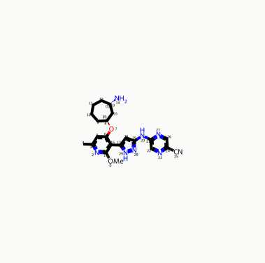 COc1nc(C)cc(O[C@@H]2CCCC[C@H](N)C2)c1-c1cc(Nc2cnc(C#N)cn2)n[nH]1